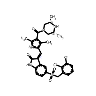 Cc1[nH]c(/C=C2\C(=O)Nc3ccc(S(=O)(=O)Cc4cccc(Cl)c4Cl)cc32)c(C)c1C(=O)N1C[C@@H](C)N[C@@H](C)C1